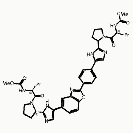 COC(=O)N[C@H](C(=O)N1CCCC1c1ncc(-c2ccc(-c3nc4cc(-c5cnc([C@@H]6CCCN6C(=O)[C@@H](NC(=O)OC)C(C)C)[nH]5)ccc4o3)cc2)[nH]1)C(C)C